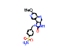 COc1cc2ncc3[nH]c(=O)n(Cc4ccc(S(N)(=O)=O)cc4)c3c2cn1